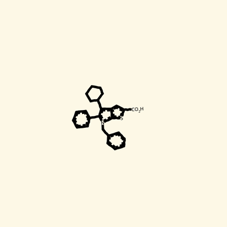 O=C(O)c1cc2c(C3CCCCC3)c(-c3ccccc3)n(Cc3ccccc3)c2s1